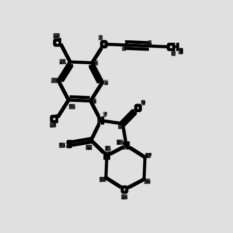 CC#COc1cc(-n2c(=O)n3n(c2=S)COCC3)c(Cl)cc1Cl